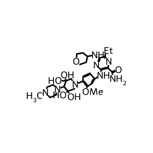 CCc1nc(C(N)=O)c(Nc2ccc(N3CC(O)(O)C(N4CCN(C)CC4)C(O)(O)C3)c(OC)c2)nc1NC1CCOCC1